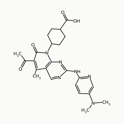 CC(=O)c1c(C)c2cnc(Nc3ccc(N(C)C)cn3)nc2n(C2CCC(C(=O)O)CC2)c1=O